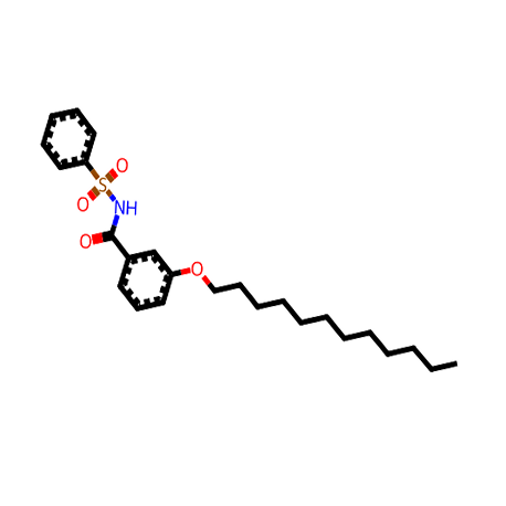 CCCCCCCCCCCCOc1cccc(C(=O)NS(=O)(=O)c2ccccc2)c1